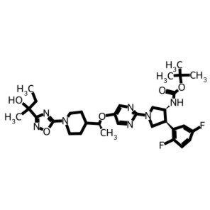 CCC(C)(O)c1noc(N2CCC([C@H](C)Oc3cnc(N4C[C@H](NC(=O)OC(C)(C)C)[C@@H](c5cc(F)ccc5F)C4)nc3)CC2)n1